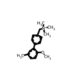 COc1ccc(C)cc1-c1ccc(C[N+](C)(C)C)cc1